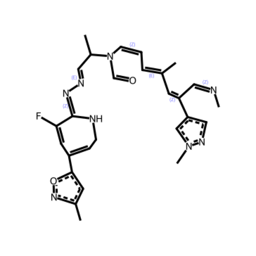 C\N=C/C(=C\C(C)=C\C=C/N(C=O)C(C)/C=N/N=C1\NCC=C(c2cc(C)no2)C=C1F)c1cnn(C)c1